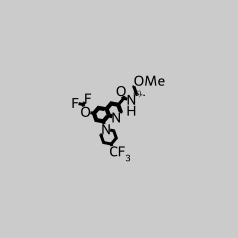 COC[C@H](C)NC(=O)c1cnc2c(N3CCC(C(F)(F)F)CC3)cc(OC(F)F)cc2c1